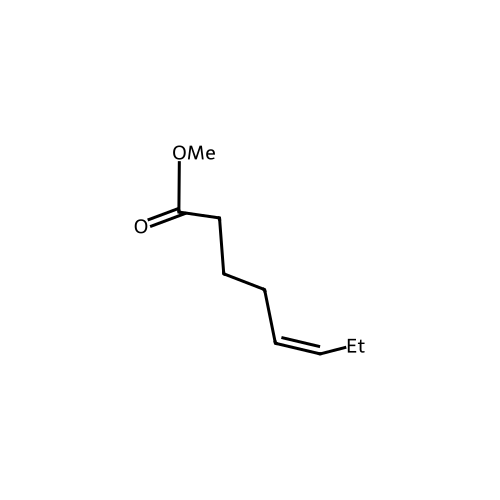 CC/C=C\CCCC(=O)OC